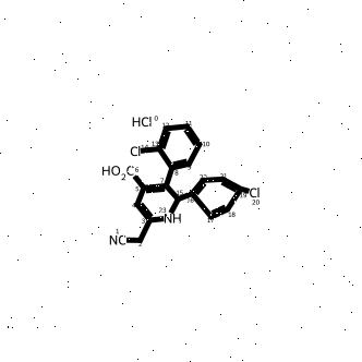 Cl.N#CCC1=CC(C(=O)O)=C(c2ccccc2Cl)C(c2ccc(Cl)cc2)N1